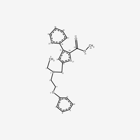 CCN(CCOc1ccccc1)Cc1cc(-c2ccccn2)c(C(=O)OC)s1